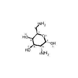 NC[C@H]1O[C@H](O)[C@H](N)[C@@H](O)[C@H]1O